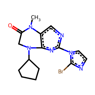 CN1C(=O)CN(C2CCCC2)c2nc(-n3ccnc3Br)ncc21